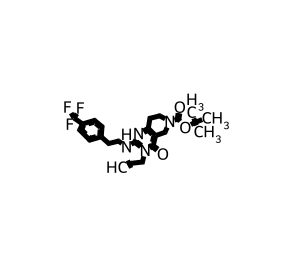 C#CCn1c(NCCc2ccc(C(F)(F)F)cc2)nc2c(c1=O)CN(C(=O)OC(C)(C)C)CC2